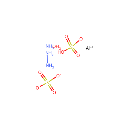 N.NN.O.O=S(=O)([O-])O.O=S(=O)([O-])[O-].[Al+3]